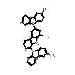 Cc1ccc2c(c1)c1ccccc1n2-c1cc(C)c2oc3c(-n4c5ccccc5c5cc(C)ccc54)nccc3c2c1